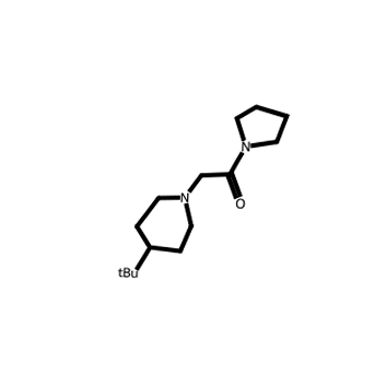 CC(C)(C)C1CCN(CC(=O)N2CCCC2)CC1